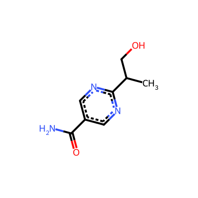 CC(CO)c1ncc(C(N)=O)cn1